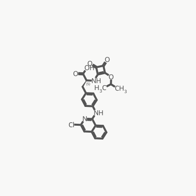 CC(C)Oc1c(N[C@@H](Cc2ccc(Nc3nc(Cl)cc4ccccc34)cc2)C(=O)O)c(=O)c1=O